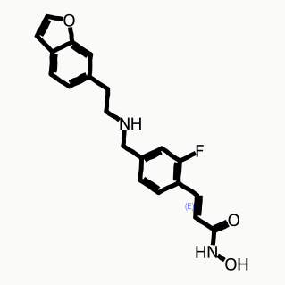 O=C(/C=C/c1ccc(CNCCc2ccc3ccoc3c2)cc1F)NO